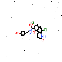 CC(NCCc1ccc(O)cc1)C1CCc2cc(Cl)c3c(c2C1=O)CCC(=O)N3.Cl.O